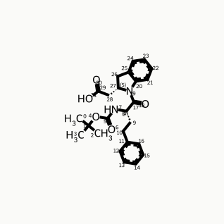 CC(C)(C)OC(=O)N[C@@H](CCc1ccccc1)C(=O)N1c2ccccc2C[C@H]1CC(=O)O